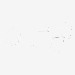 NC(=O)N1C(CCCc2ccccc2)CCC12CCCC2